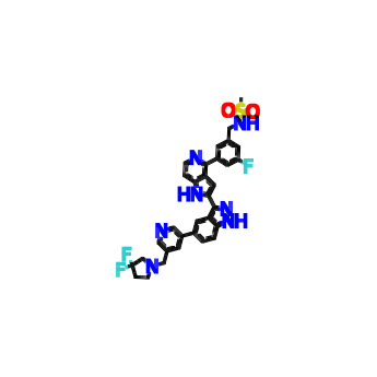 CS(=O)(=O)NCc1cc(F)cc(-c2nccc3[nH]c(-c4n[nH]c5ccc(-c6cncc(CN7CCC(F)(F)C7)c6)cc45)cc23)c1